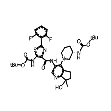 CC(C)(C)OC(=O)Nc1sc(-c2c(F)cccc2F)nc1C(=O)Nc1cnc2c(c1N1CCC[C@H](NC(=O)OC(C)(C)C)C1)CCC2(C)O